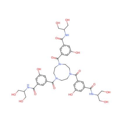 O=C(NC(CO)CO)c1cc(O)cc(C(=O)N2CCN(C(=O)c3cc(O)cc(C(=O)NC(CO)CO)c3)CCN(C(=O)c3cc(O)cc(C(=O)NC(CO)CO)c3)CC2)c1